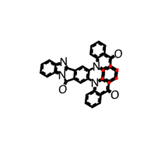 O=C1c2cc(-n3c4ccccc4c(=O)c4ccccc43)c(-n3c4ccccc4c(=O)c4ccccc43)cc2-c2nc3ccccc3n21